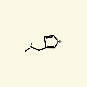 CNCc1[c][nH]cc1